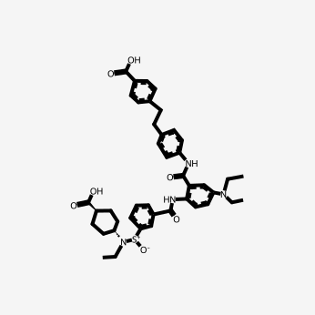 CCN(CC)c1ccc(NC(=O)c2cccc([S+]([O-])N(CC)[C@H]3CC[C@H](C(=O)O)CC3)c2)c(C(=O)Nc2ccc(CCc3ccc(C(=O)O)cc3)cc2)c1